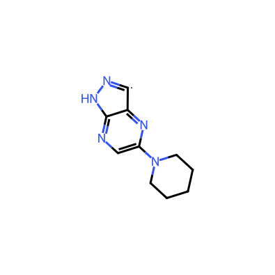 [c]1n[nH]c2ncc(N3CCCCC3)nc12